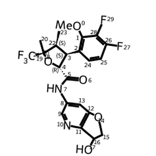 COc1c([C@H]2[C@H](C(=O)Nc3cnc4c(c3)OCC4O)O[C@@](C)(C(F)(F)F)[C@H]2C)ccc(F)c1F